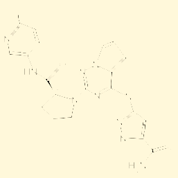 NC(=O)c1cc(Nc2nc(N3CCC[C@H]3C(=O)Nc3ccc(F)nc3)nn3cccc23)n[nH]1